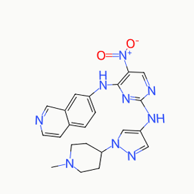 CN1CCC(n2cc(Nc3ncc([N+](=O)[O-])c(Nc4ccc5ccncc5c4)n3)cn2)CC1